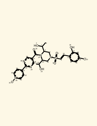 CC(O)C1CN(S(=O)(=O)C=Cc2ccc(Cl)cc2O)CC(C(C)O)N1C(=O)c1cnc(-c2cc[n+]([O-])cc2)nc1